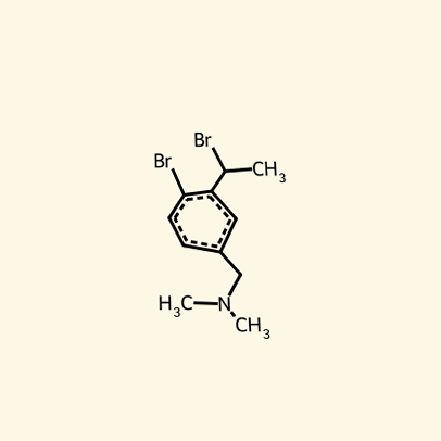 CC(Br)c1cc(CN(C)C)ccc1Br